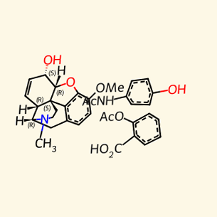 CC(=O)Nc1ccc(O)cc1.CC(=O)Oc1ccccc1C(=O)O.COc1ccc2c3c1O[C@H]1[C@@H](O)C=C[C@H]4[C@@H](C2)N(C)CC[C@@]341